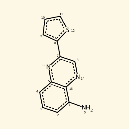 Nc1cccc2nc(-c3cccs3)cnc12